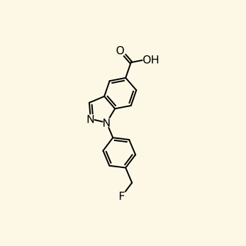 O=C(O)c1ccc2c(cnn2-c2ccc(CF)cc2)c1